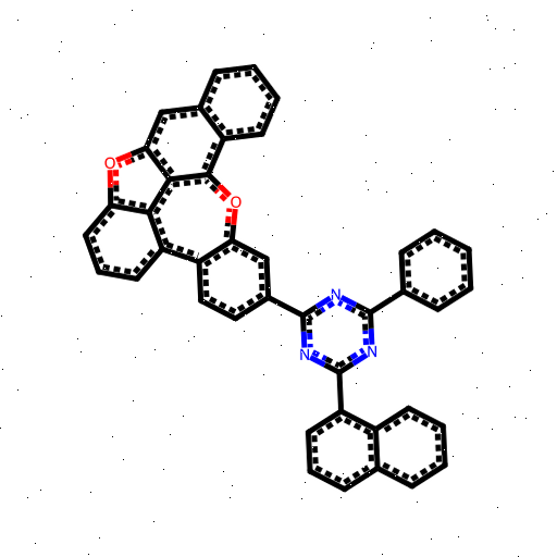 c1ccc(-c2nc(-c3ccc4c(c3)oc3c5ccccc5cc5oc6cccc4c6c53)nc(-c3cccc4ccccc34)n2)cc1